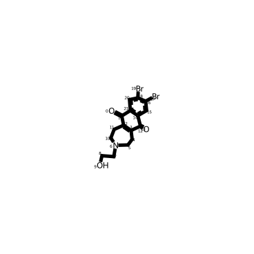 O=C1C2=C(CCN(CCO)CC2)C(=O)c2cc(Br)c(Br)cc21